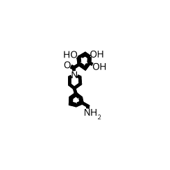 NCc1cccc(C2CCN(C(=O)c3cc(O)c(O)cc3O)CC2)c1